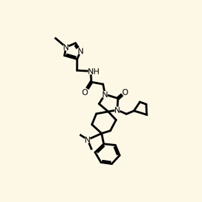 CN(C)C1(c2ccccc2)CCC2(CC1)CN(CC(=O)NCc1cn(C)cn1)C(=O)N2CC1CCC1